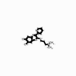 CN(C)CCCSc1nc2cc(Cl)c(Cl)cc2nc1-c1ccccn1